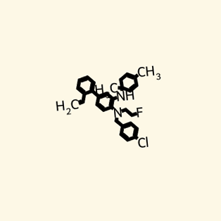 C=Cc1ccccc1-c1ccc(N(CCF)Cc2ccc(Cl)cc2)c(NC2(C)C=CC(C)=CC2)c1